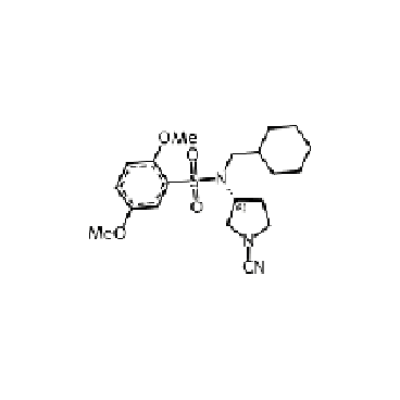 COc1ccc(OC)c(S(=O)(=O)N(CC2CCCCC2)[C@@H]2CCN(C#N)C2)c1